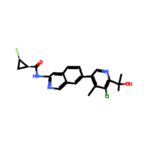 Cc1c(-c2ccc3cc(NC(=O)[C@@H]4C[C@@H]4F)ncc3c2)cnc(C(C)(C)O)c1Cl